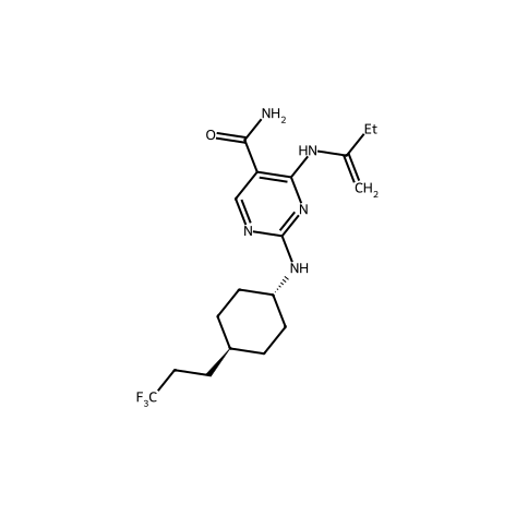 C=C(CC)Nc1nc(N[C@H]2CC[C@H](CCC(F)(F)F)CC2)ncc1C(N)=O